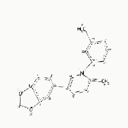 C=C1C=CC(c2ccc3c(c2)OCO3)=CN1c1cccc(C)c1